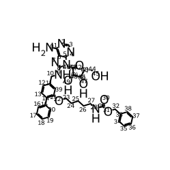 Nc1ncnc2c1nc(NCc1ccc(-c3ccccc3)c(OCCCCCNC(=O)OCc3ccccc3)c1)n2[C@@H]1O[C@H](CO)[C@@H](O)[C@H]1O